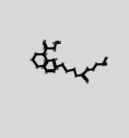 CBCCOC(=O)CCCCc1ccc2c(n1)N(C(=O)OC(C)(C)C)CCC2